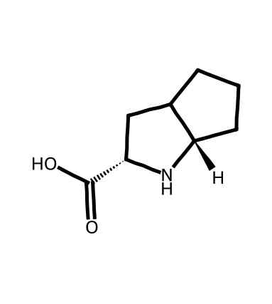 O=C(O)[C@@H]1CC2CCC[C@@H]2N1